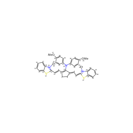 CCN1C(=CC=C2CCC(C=Cc3sc4ccccc4[n+]3CC)=C2N(c2ccc(OC)cc2)c2ccc(OC)cc2)Sc2ccccc21